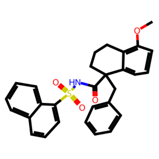 COc1cccc2c1CCCC2(Cc1ccccc1)C(=O)NS(=O)(=O)c1cccc2ccccc12